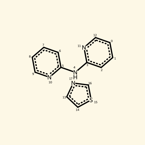 c1ccc(Nc2ccccn2)nc1.c1cscn1